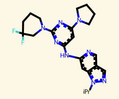 CC(C)n1ncc2cnc(Nc3cc(N4CCCC4)nc(N4CCCC(F)(F)C4)n3)cc21